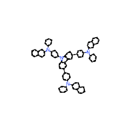 c1ccc(N(c2ccc(-c3ccc4c(c3)c3cc(-c5ccc(N(c6ccccc6)c6ccc7ccccc7c6)cc5)ccc3n4-c3ccc(N(c4ccccc4)c4ccc5ccccc5c4)cc3)cc2)c2ccc3ccccc3c2)cc1